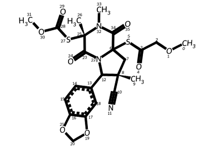 COCC(=O)SC12C[C@](C)(C#N)C(c3ccc4c(c3)OCO4)N1C(=O)[C@](C)(SC(=O)OC)N(C)C2=O